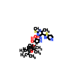 CSc1nc(C)c(-c2nc3cnccc3s2)c(N[C@@H]2C[C@H](CO[Si](O[SiH](C(C)C)C(C)C)(C(C)C)C(C)C)[C@@H](O)[C@H]2O)n1